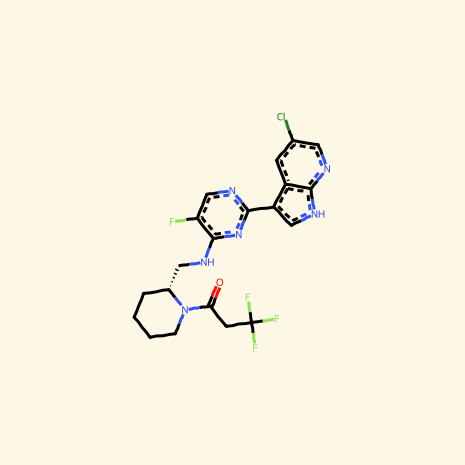 O=C(CC(F)(F)F)N1CCCC[C@@H]1CNc1nc(-c2c[nH]c3ncc(Cl)cc23)ncc1F